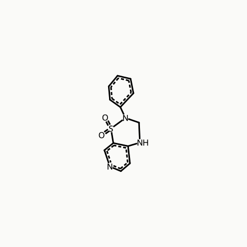 O=S1(=O)c2cnccc2NCN1c1ccccc1